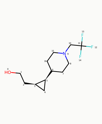 OCC[C@@H]1C[C@@H]1C1CCN(CC(F)(F)F)CC1